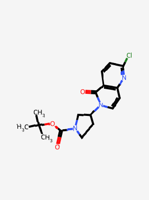 CC(C)(C)OC(=O)N1CCC(n2ccc3nc(Cl)ccc3c2=O)C1